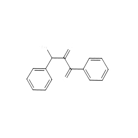 CCCCC(C(=O)C(=O)c1ccccc1)c1ccccc1